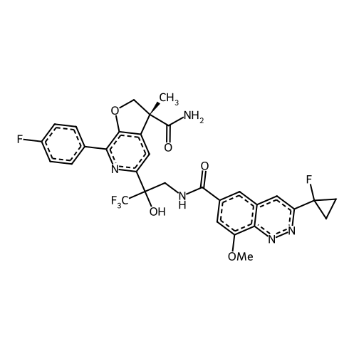 COc1cc(C(=O)NCC(O)(c2cc3c(c(-c4ccc(F)cc4)n2)OC[C@]3(C)C(N)=O)C(F)(F)F)cc2cc(C3(F)CC3)nnc12